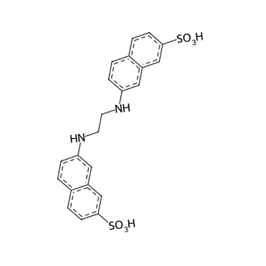 O=S(=O)(O)c1ccc2ccc(NCCNc3ccc4ccc(S(=O)(=O)O)cc4c3)cc2c1